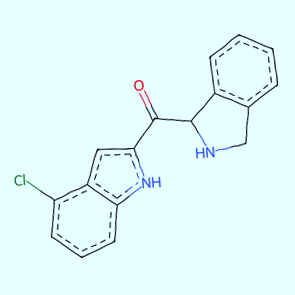 O=C(c1cc2c(Cl)cccc2[nH]1)C1NCc2ccccc21